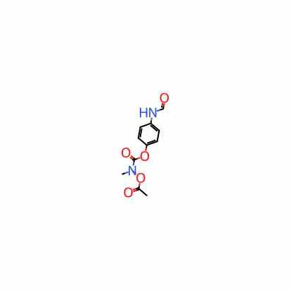 CC(=O)ON(C)C(=O)Oc1ccc(NC=O)cc1